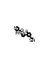 Cc1ccc(-c2cncs2)cc1-c1ccc(NC(=O)c2ccncc2F)s1